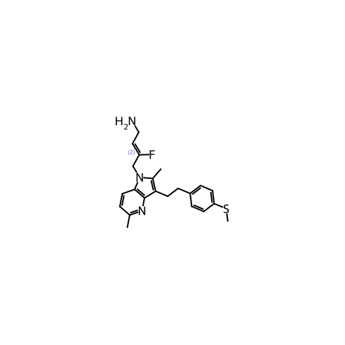 CSc1ccc(CCc2c(C)n(C/C(F)=C/CN)c3ccc(C)nc23)cc1